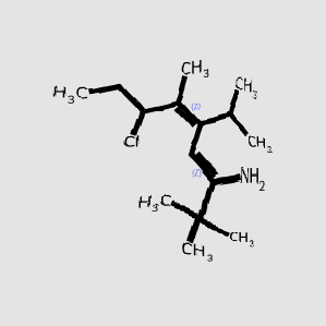 CCC(Cl)/C(C)=C(\C=C(/N)C(C)(C)C)C(C)C